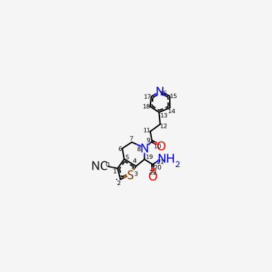 N#Cc1[c]sc2c1CCN(C(=O)CCc1ccncc1)C2C(N)=O